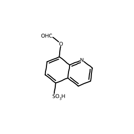 O=COc1ccc(S(=O)(=O)O)c2cccnc12